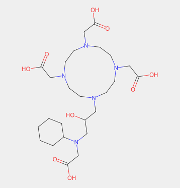 O=C(O)CN1CCN(CC(=O)O)CCN(CC(O)CN(CC(=O)O)C2CCCCC2)CCN(CC(=O)O)CC1